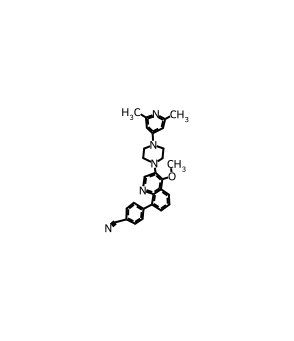 COc1c(N2CCN(c3cc(C)nc(C)c3)CC2)cnc2c(-c3ccc(C#N)cc3)cccc12